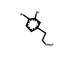 CCCCCCCCCc1ccc(Br)c(C(C)C)c1